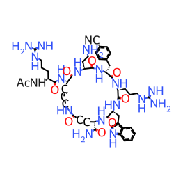 CC(=O)N[C@@H](CCCNC(=N)N)C(=O)N[C@H]1CCCNC(=O)CC[C@@H](C(N)=O)NC(=O)[C@H](Cc2c[nH]c3ccccc23)NC(=O)[C@H](CCCNC(=N)N)NC(=O)[C@@H](Cc2ccc(C#N)cc2)NC(=O)[C@H](CCN)NC1=O